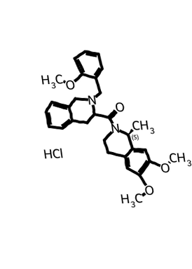 COc1ccccc1CN1Cc2ccccc2CC1C(=O)N1CCc2cc(OC)c(OC)cc2[C@@H]1C.Cl